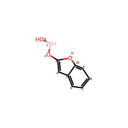 OBOc1cc2ccccc2o1